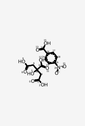 O=C(O)CC(O)(CC(=O)O)C(=O)O.O=C(O)c1ccc([N+](=O)[O-])cc1